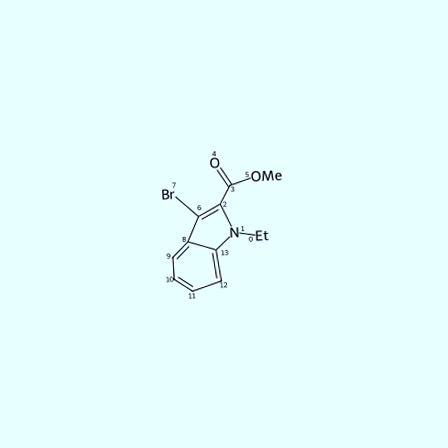 CCn1c(C(=O)OC)c(Br)c2ccccc21